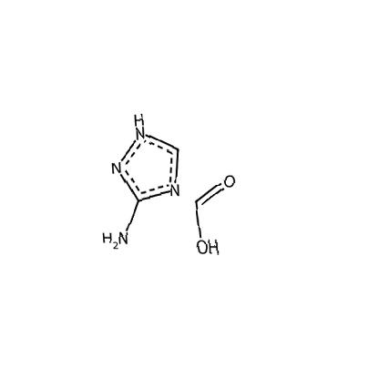 Nc1nc[nH]n1.O=CO